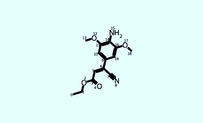 CCOC(=O)C=C(C#N)c1cc(OC)c(N)c(OC)c1